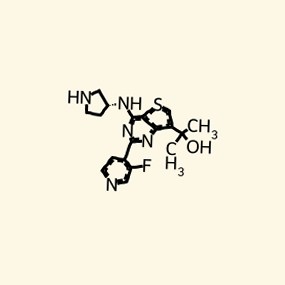 CC(C)(O)c1csc2c(N[C@@H]3CCNC3)nc(-c3ccncc3F)nc12